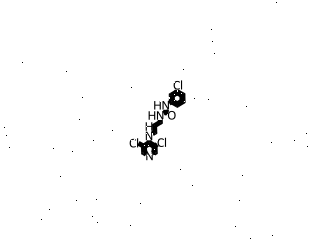 O=C(NCCCNc1c(Cl)cncc1Cl)Nc1cccc(Cl)c1